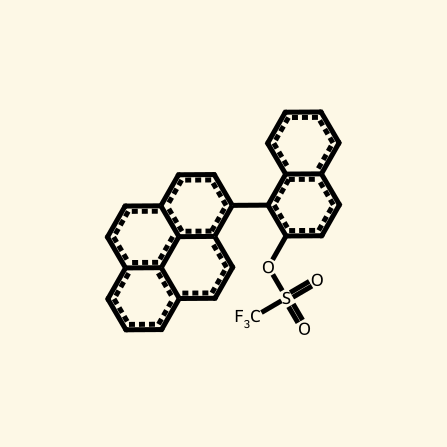 O=S(=O)(Oc1ccc2ccccc2c1-c1ccc2ccc3cccc4ccc1c2c34)C(F)(F)F